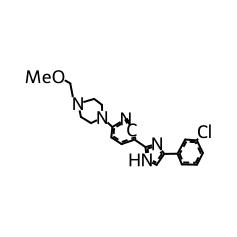 COCCN1CCN(c2ccc(-c3nc(-c4cccc(Cl)c4)c[nH]3)cn2)CC1